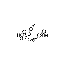 CC(C)(C)c1ccc(C(=O)c2ccccc2NC(Cc2ccc(OCCc3ccc4c(c3)[nH]c3ccccc34)cc2)C(=O)O)cc1